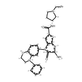 CC(C)CN1CC[C@@H](NC(=O)c2cc3c(nc(N)c(=O)n3-c3ccc4c(c3)N(c3ccccc3)CCO4)s2)C1